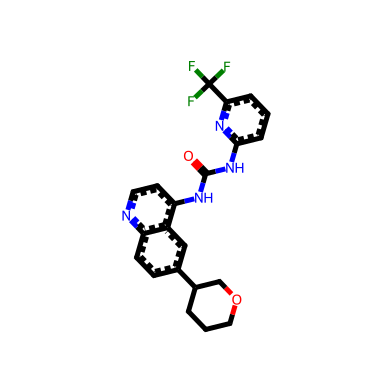 O=C(Nc1cccc(C(F)(F)F)n1)Nc1ccnc2ccc(C3CCCOC3)cc12